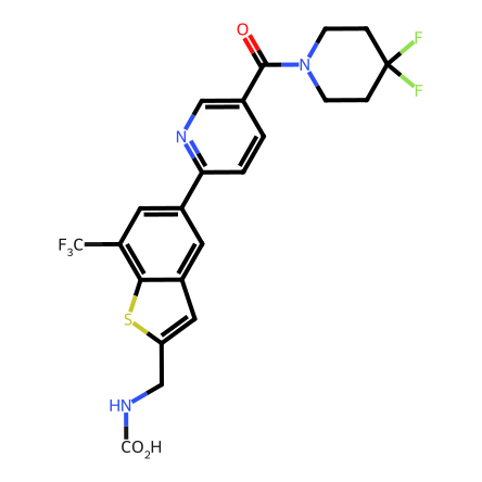 O=C(O)NCc1cc2cc(-c3ccc(C(=O)N4CCC(F)(F)CC4)cn3)cc(C(F)(F)F)c2s1